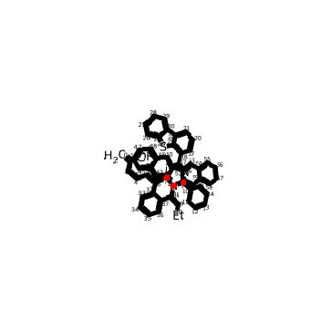 C=C(O)/C=C\C=C(\c1nc(-c2ccccc2)nc(-c2cccc3c2sc2ccccc23)n1)c1ccccc1/C(=C\CC)n1c2cc3ccccc3cc2c2cc3ccccc3cc21